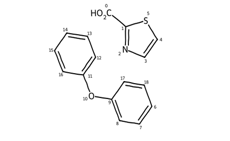 O=C(O)c1nccs1.c1ccc(Oc2ccccc2)cc1